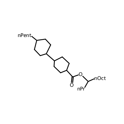 CCCCCCCCC(CCC)OC(=O)C1CCC(C2CCC(CCCCC)CC2)CC1